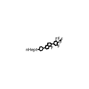 CCCCCCCC1CCC(c2ccc3c(F)c(-c4cc(F)c(OC(F)F)c(F)c4)ccc3c2)CC1